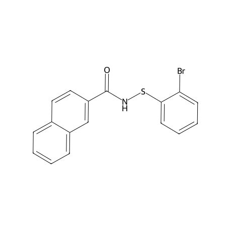 O=C(NSc1ccccc1Br)c1ccc2ccccc2c1